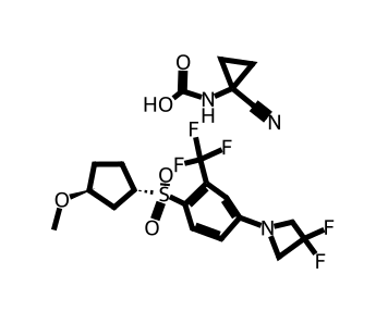 CO[C@H]1CC[C@H](S(=O)(=O)c2ccc(N3CC(F)(F)C3)cc2C(F)(F)F)C1.N#CC1(NC(=O)O)CC1